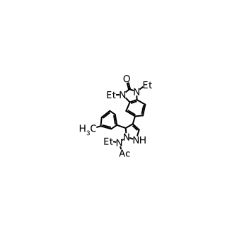 CCN(C(C)=O)N1NC=C(c2ccc3c(c2)n(CC)c(=O)n3CC)C1c1cccc(C)c1